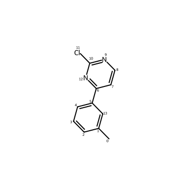 Cc1cccc(-c2ccnc(Cl)n2)c1